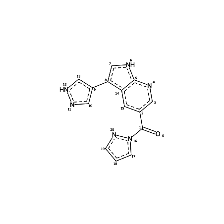 O=C(c1cnc2[nH]cc(-c3cn[nH]c3)c2c1)n1cccn1